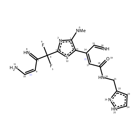 CNc1nc(C(F)(F)C(=N)/C=C\N)sc1/C(C=N)=C/C(=O)NCc1cc[nH]n1